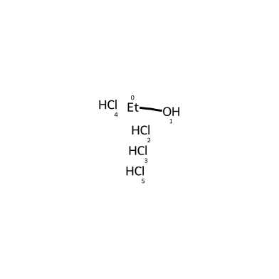 CCO.Cl.Cl.Cl.Cl